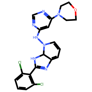 Clc1cccc(Cl)c1C1=NC2=CC=CN(Nc3cc(N4CCOCC4)ncn3)C2N1